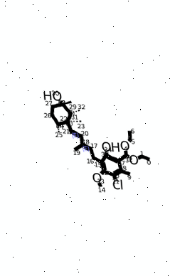 CCOC(OCC)c1c(C)c(Cl)c(OC)c(C/C=C(C)/C=C/[C@@]2(C)[C@H](C)CC[C@](C)(O)[C@@H]2C)c1O